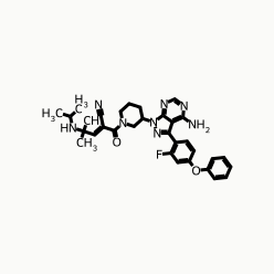 CC(C)NC(C)(C)C=C(C#N)C(=O)N1CCCC(n2nc(-c3ccc(Oc4ccccc4)cc3F)c3c(N)ncnc32)C1